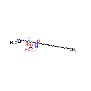 CCC=CCC=CCC=CCC=CCC=CCC=CCCC(=O)NCCCC(NC(=O)CC=Cc1ccc(C)nc1)C(=O)OC(CO)CO